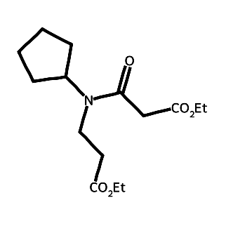 CCOC(=O)CCN(C(=O)CC(=O)OCC)C1CCCC1